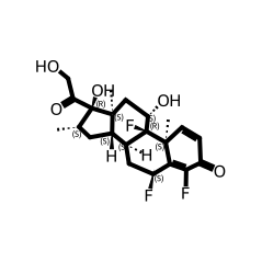 C[C@H]1C[C@H]2[C@@H]3C[C@H](F)C4=C(F)C(=O)C=C[C@]4(C)[C@@]3(F)[C@@H](O)C[C@]2(C)[C@@]1(O)C(=O)CO